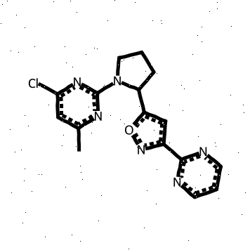 Cc1cc(Cl)nc(N2CCCC2c2cc(-c3ncccn3)no2)n1